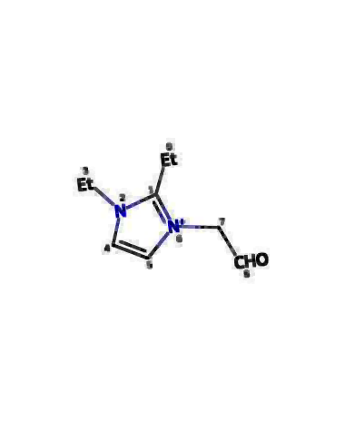 CCc1n(CC)cc[n+]1CC=O